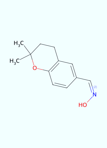 CC1(C)CCc2cc(/C=N\O)ccc2O1